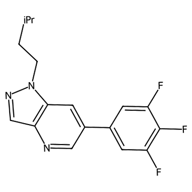 CC(C)CCn1ncc2ncc(-c3cc(F)c(F)c(F)c3)cc21